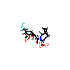 O=C(O)[C@@H]1CC2(CC2)CN1C(=O)C12CC(C(F)(F)F)(CO1)C2